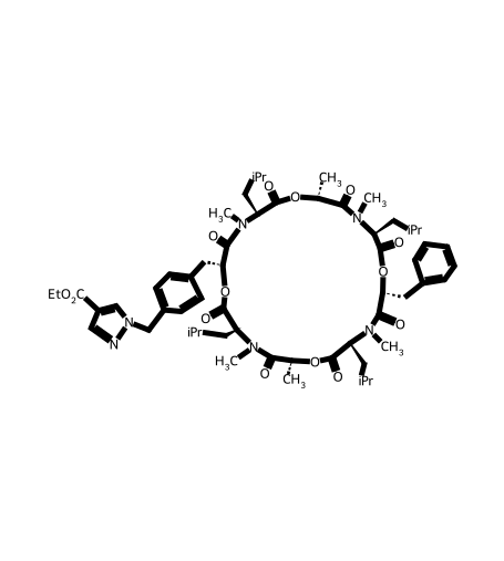 CCOC(=O)c1cnn(Cc2ccc(C[C@H]3OC(=O)[C@H](CC(C)C)N(C)C(=O)[C@@H](C)OC(=O)[C@H](CC(C)C)N(C)C(=O)[C@@H](Cc4ccccc4)OC(=O)[C@H](CC(C)C)N(C)C(=O)[C@@H](C)OC(=O)[C@H](CC(C)C)N(C)C3=O)cc2)c1